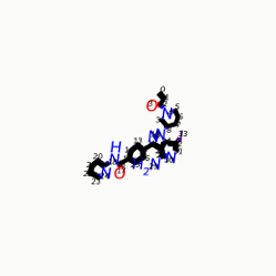 C=CC(=O)N1CCCC(n2nc(-c3ccc(C(=O)Nc4ccccn4)cc3)c3c(N)ncc(I)c32)C1